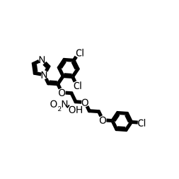 Clc1ccc(OCCOCCOC(=Cn2ccnc2)c2ccc(Cl)cc2Cl)cc1.O=[N+]([O-])O